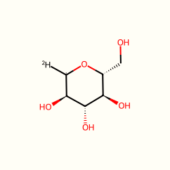 [2H][C]1O[C@H](CO)[C@@H](O)[C@H](O)[C@H]1O